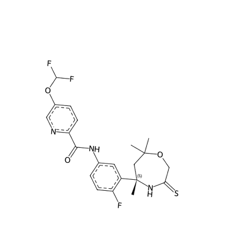 CC1(C)C[C@@](C)(c2cc(NC(=O)c3ccc(OC(F)F)cn3)ccc2F)NC(=S)CO1